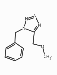 [CH2]OCc1nnnn1Cc1ccccc1